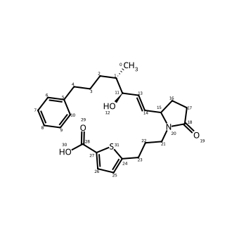 C[C@@H](CCCc1ccccc1)[C@H](O)C=CC1CCC(=O)N1CCCc1ccc(C(=O)O)s1